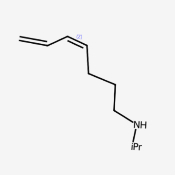 C=C/C=C\CCCNC(C)C